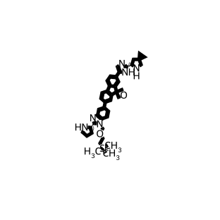 C[Si](C)(C)CCOCn1c([C@@H]2CCCN2)nc2cc(-c3ccc4c(c3)C3(COC3)c3cc(-c5cnc([C@@H]6CC7(CC7)CN6)[nH]5)ccc3-4)ccc21